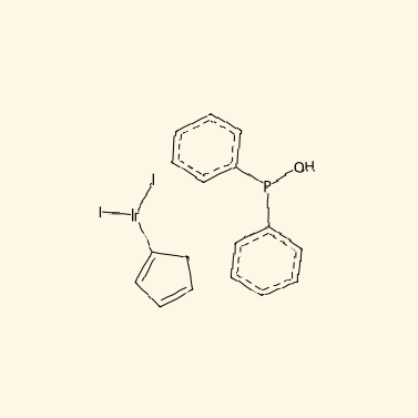 OP(c1ccccc1)c1ccccc1.[I][Ir]([I])[C]1=CC=CC1